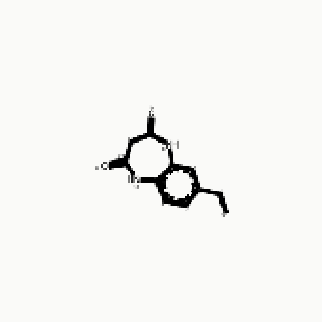 CCc1ccc2c(c1)NC(=O)CC(=O)N2